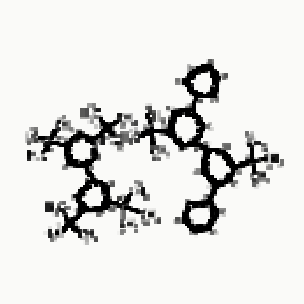 CC(C)(C)c1cc(-c2cc(C(C)(C)C)cc([Si](C)(C)C)c2)cc([Si](C)(C)C)c1.CC(C)(C)c1cc(-c2ccccc2)cc(-c2cc(-c3ccccc3)cc(C(C)(C)C)c2)c1